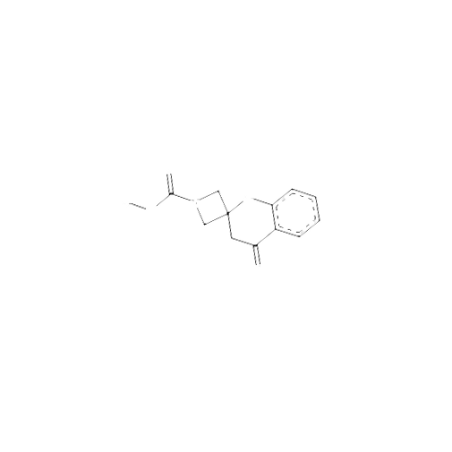 CC(C)(C)OC(=O)N1CC2(CC(=O)c3ccccc3O2)C1